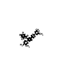 CC1CN(c2ncc(-c3cc(NC(=O)c4c[nH]c(=O)cc4C(F)(F)F)c(N4CCN(C)C(C)C4)cc3F)cn2)CC(C)O1